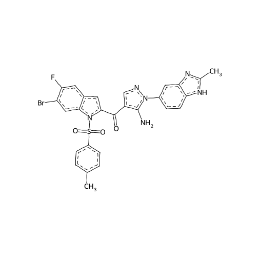 Cc1ccc(S(=O)(=O)n2c(C(=O)c3cnn(-c4ccc5[nH]c(C)nc5c4)c3N)cc3cc(F)c(Br)cc32)cc1